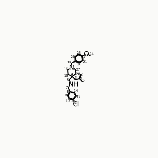 C=C(C)CC1(CNCc2ccc(Cl)cc2)CCN(Cc2ccc(OC)cc2)CC1